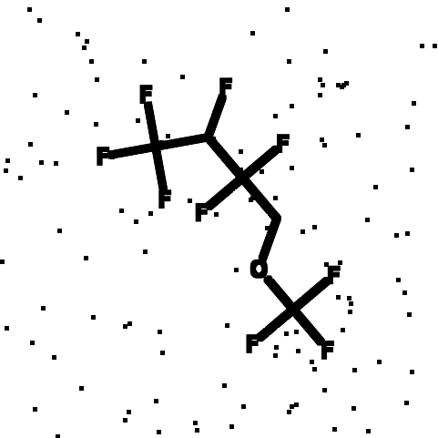 FC(C(F)(F)F)C(F)(F)COC(F)(F)F